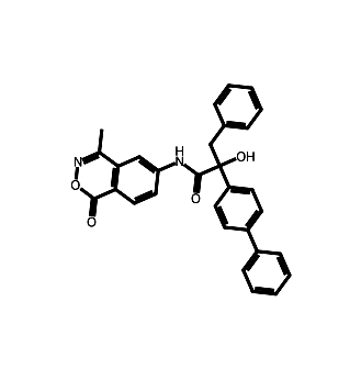 Cc1noc(=O)c2ccc(NC(=O)C(O)(Cc3ccccc3)c3ccc(-c4ccccc4)cc3)cc12